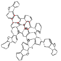 c1ccc(-c2ccccc2N2c3cc4c(cc3B3c5ccc6c(oc7ccccc76)c5Sc5cc(-c6ccc7oc8ccccc8c7c6)cc2c53)B2c3ccc5c(oc6ccccc65)c3Sc3cc(-c5ccc6oc7ccccc7c6c5)cc(c32)N4c2ccccc2-c2ccccc2)cc1